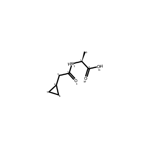 C[C@H](NC(=O)CC1CC1)C(=O)O